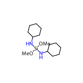 CO[Si](NC1CCCCC1)(NC1CCCCC1)OC